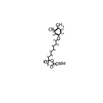 COC(=O)OC1(CCCCCCCOc2ccc(C)c(Cl)c2)CO1